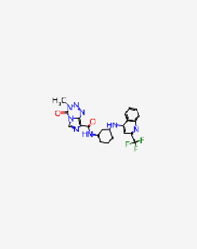 Cn1nnc2c(C(=O)N[C@@H]3CCC[C@H](Nc4cc(C(F)(F)F)nc5ccccc45)C3)ncn2c1=O